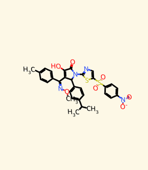 CO/N=C(\C1=C(O)C(=O)N(c2ncc(S(=O)(=O)c3ccc([N+](=O)[O-])cc3)s2)C1c1ccc(C(C)C)cc1)c1ccc(C)cc1